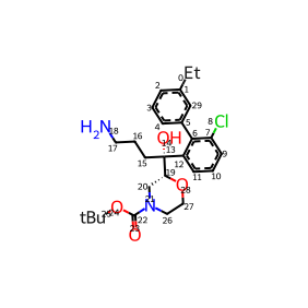 CCc1cccc(-c2c(Cl)cccc2[C@](O)(CCCN)[C@H]2CN(C(=O)OC(C)(C)C)CCO2)c1